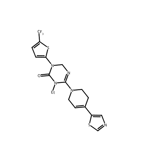 CCN1C(=O)N(c2ccc(C(F)(F)F)s2)CN=C1N1CC=C(c2cncs2)CC1